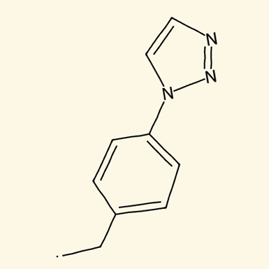 [CH2]Cc1ccc(-n2ccnn2)cc1